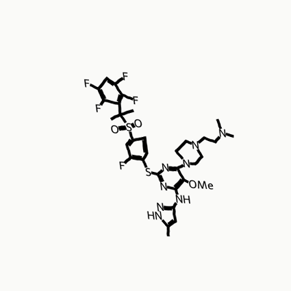 COc1c(Nc2cc(C)[nH]n2)nc(Sc2ccc(S(=O)(=O)C(C)(C)c3c(F)c(F)cc(F)c3F)cc2F)nc1N1CCN(CCN(C)C)CC1